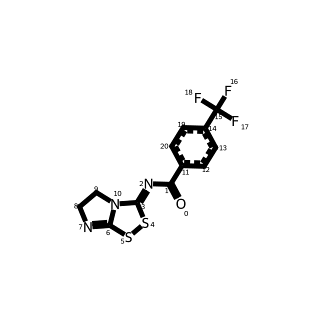 O=C(N=C1SSC2=NCCN21)c1ccc(C(F)(F)F)cc1